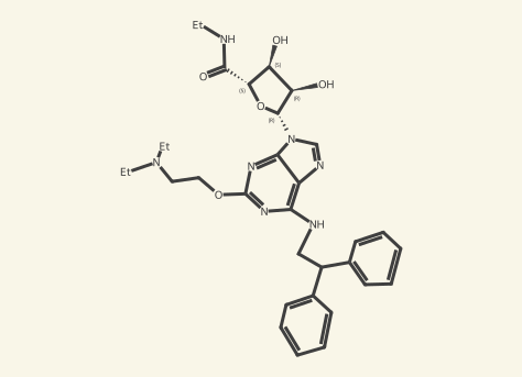 CCNC(=O)[C@H]1O[C@@H](n2cnc3c(NCC(c4ccccc4)c4ccccc4)nc(OCCN(CC)CC)nc32)[C@H](O)[C@@H]1O